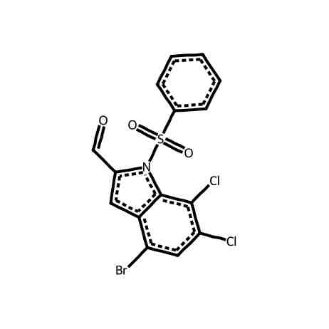 O=Cc1cc2c(Br)cc(Cl)c(Cl)c2n1S(=O)(=O)c1ccccc1